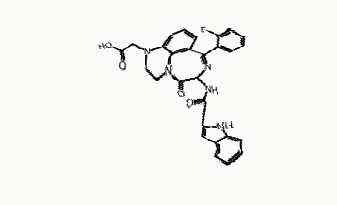 O=C(O)CN1CCN2C(=O)C(NC(=O)c3cc4ccccc4[nH]3)N=C(c3ccccc3F)c3cccc1c32